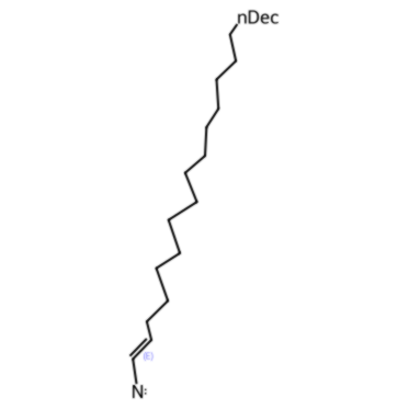 CCCCCCCCCCCCCCCCCCCCCCC/C=C/[N]